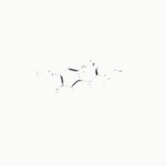 CC(C(=O)NCC(F)(F)F)c1cc(F)c(N)cc1C#N